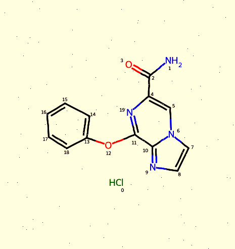 Cl.NC(=O)c1cn2ccnc2c(Oc2ccccc2)n1